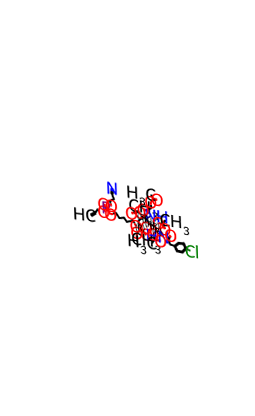 C#CCOP(=O)(OCCC#N)OCCCCCO[C@]1(C(=O)OC)C[C@H](OC(C)=O)[C@@H](NC(=O)COC(C)=O)[C@H]([C@H](OC(C)=O)[C@@H](CNC(=O)Cc2ccc(Cl)cc2)OC(C)=O)O1